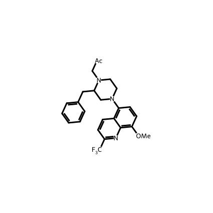 COc1ccc(N2CCN(CC(C)=O)C(Cc3ccccc3)C2)c2ccc(C(F)(F)F)nc12